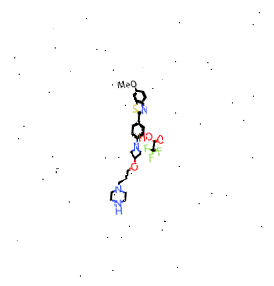 COc1ccc2nc(-c3ccc(N4CC(OCCCN5CCNCC5)C4)cc3)sc2c1.O=C(O)C(F)(F)F